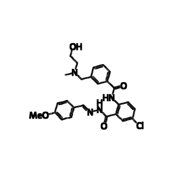 COc1ccc(C=NNC(=O)c2cc(Cl)ccc2NC(=O)c2cccc(CN(C)CCO)c2)cc1